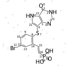 O=c1[nH]cnc2c(Sc3ccc(Br)cc3C=CP(=O)(O)O)c[nH]c12